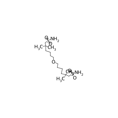 CC(C)(CCCCOCCCCC(C)(C)CS(N)(=O)=O)CS(N)(=O)=O